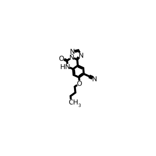 CCCCOc1cc2[nH]c(=O)n3ncnc3c2cc1C#N